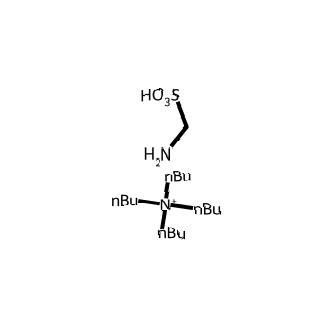 CCCC[N+](CCCC)(CCCC)CCCC.NCS(=O)(=O)O